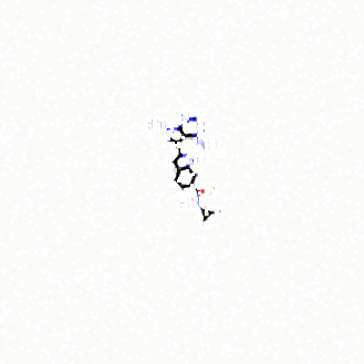 CC(C)n1cc(-c2cc3ccc(C(=O)NC4CC4)cc3[nH]2)c2c(N)ncnc21